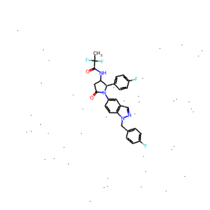 CC(F)(F)C(=O)NC1CC(=O)N(c2ccc3c(cnn3Cc3ccc(F)cc3)c2)C1c1ccc(F)cc1